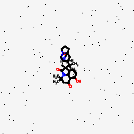 CC1(C)CC(=O)c2c(O)ccc3c2N1C(=O)C31C[C@@]23CN4CCCC4(C[C@H]2C1(C)C)C(=O)N3